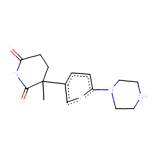 CC1(c2ccc(N3CCNCC3)cc2)CCC(=O)NC1=O